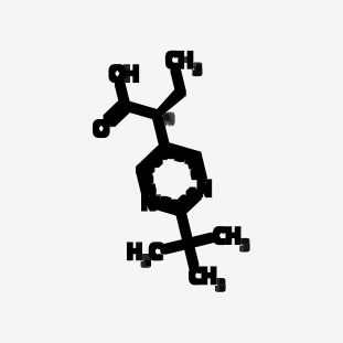 CC[C@H](C(=O)O)c1cnc(C(C)(C)C)nc1